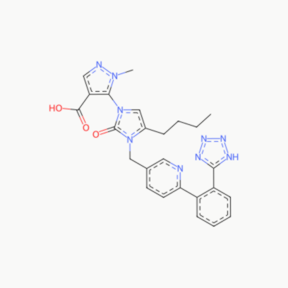 CCCCc1cn(-c2c(C(=O)O)cnn2C)c(=O)n1Cc1ccc(-c2ccccc2-c2nnn[nH]2)nc1